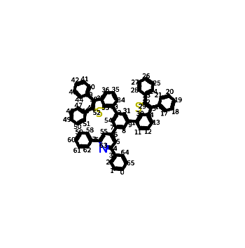 c1ccc(-c2cc(-c3cc(-c4cccc5c(-c6ccccc6)c(-c6ccccc6)sc45)cc(-c4cccc5c(-c6ccccc6)c(-c6ccccc6)sc45)c3)cc(-c3ccccc3)n2)cc1